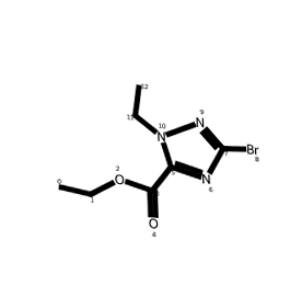 CCOC(=O)c1nc(Br)nn1CC